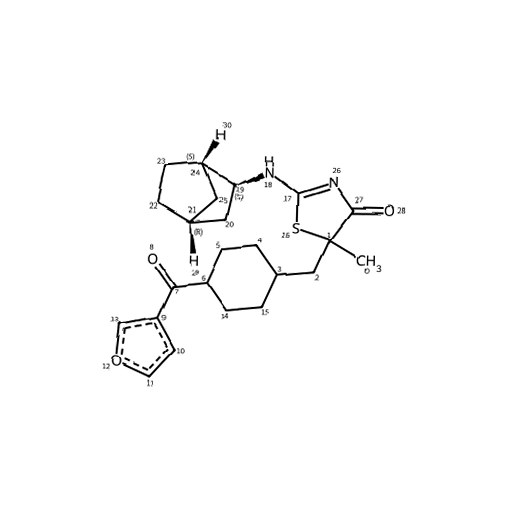 CC1(CC2CCC(C(=O)c3ccoc3)CC2)SC(N[C@H]2C[C@@H]3CC[C@H]2C3)=NC1=O